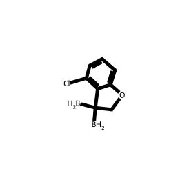 BC1(B)COc2cccc(Cl)c21